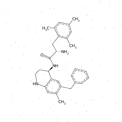 Cc1cc(C)c(C[C@H](N)C(=O)N[C@@H]2CCNc3cc(C)c(Cc4ccccc4)cc32)c(C)c1